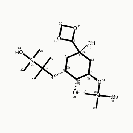 CC(C)(C[C@@H]1C[C@@](O)(C2OCO2)C[C@@H](O[Si](C)(C)C(C)(C)C)[C@@H]1O)[Si](C)(C)O